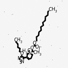 CCCCCCCCCCCCCOC(=O)OC(C)[N+]1(C)CCC=C(c2nsnc2OCCCCCC)C1.[I-]